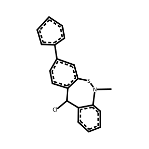 CN1Sc2cc(-c3ccccc3)ccc2C(Cl)c2ccccc21